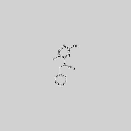 NN(Cc1ccccc1)c1nc(O)ncc1F